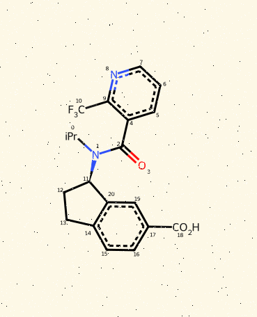 CC(C)N(C(=O)c1cccnc1C(F)(F)F)[C@@H]1CCc2ccc(C(=O)O)cc21